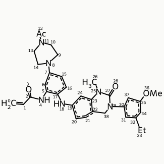 C=CC(=O)Nc1cc(N2CCN(C(C)=O)CC2)ccc1Nc1ccc2c(c1)N(C)C(=O)N(c1cc(CC)cc(OC)c1)C2